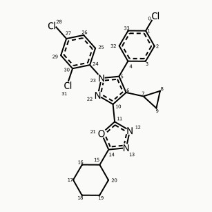 Clc1ccc(-c2c(C3CC3)c(-c3nnc(C4CCCCC4)o3)nn2-c2ccc(Cl)cc2Cl)cc1